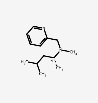 CC(C)C[C@@H](C)N(C)Cc1ccccn1